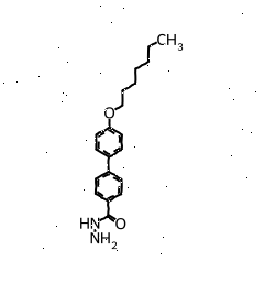 CCCCCCCOc1ccc(-c2ccc(C(=O)NN)cc2)cc1